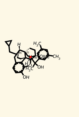 CO[C@]12CC[C@@]3(C[C@@H]1C(C)(O)c1cc(C)cc(C)c1)[C@H]1Cc4ccc(O)c5c4[C@@]3(CCN1CC1CC1)[C@H]2O5